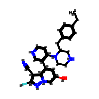 CCc1ccc(CC2CNCCN2c2ccncc2-c2cc(O)cn3nc(F)c(C#N)c23)cc1